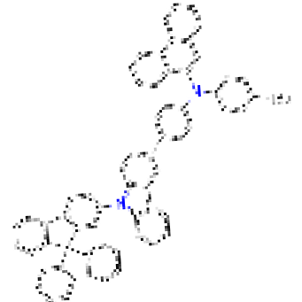 CC(C)(C)c1ccc(N(c2ccc(-c3ccc4c(c3)c3ccccc3n4-c3ccc4c(c3)C(c3ccccc3)(c3ccccc3)c3ccccc3-4)cc2)c2cc3ccccc3c3ccccc23)cc1